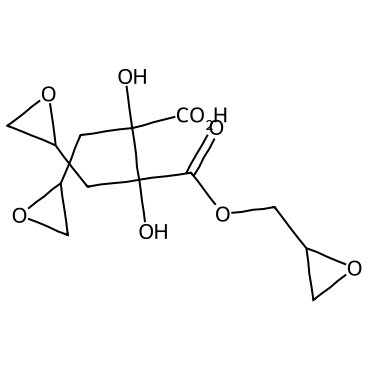 O=C(O)C(O)(CC1CO1)C(O)(CC1CO1)C(=O)OCC1CO1